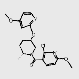 COc1ccnc(O[C@@H]2CC[C@@H](C)N(C(=O)c3ccc(OC)nc3Cl)C2)c1